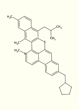 Cc1ccc2c(CC(C)C)c3c(c(C)c2c1)-c1c2c(cc4cc(CC5CCCC5)ccc4c2cc[n+]1C)S3